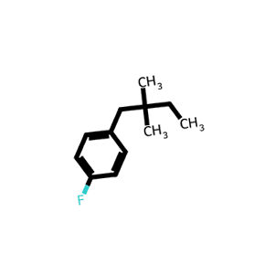 CCC(C)(C)Cc1ccc(F)cc1